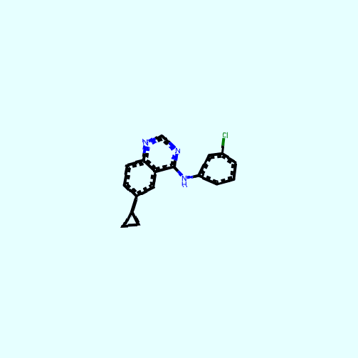 Clc1cccc(Nc2ncnc3ccc(C4CC4)cc23)c1